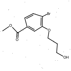 COC(=O)c1ccc(Br)c(OCCCO)c1